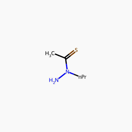 CCCN(N)C(C)=S